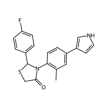 Cc1cc(-c2cc[nH]c2)ccc1N1C(=O)CSC1c1ccc(F)cc1